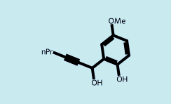 CCCC#CC(O)c1cc(OC)ccc1O